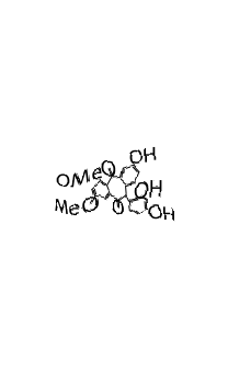 COc1cc(OC)c2c(c1)C(=O)[C@H](c1ccc(O)cc1)c1c(O)cc(O)cc1C2=O